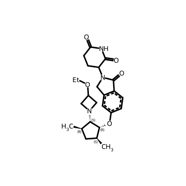 CCOC1CN([C@@H]2[C@H](Oc3ccc4c(c3)CN(C3CCC(=O)NC3=O)C4=O)[C@@H](C)C[C@H]2C)C1